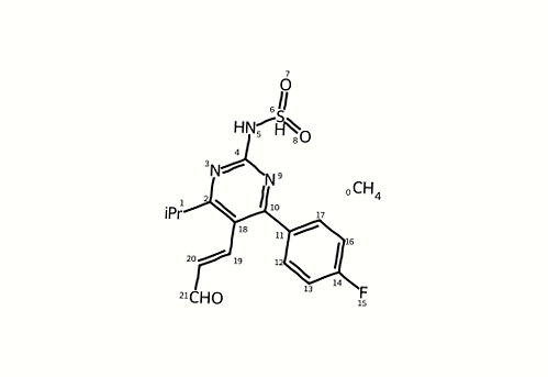 C.CC(C)c1nc(N[SH](=O)=O)nc(-c2ccc(F)cc2)c1C=CC=O